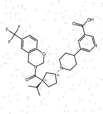 CC(C)[C@]1(C(=O)N2COc3ccc(C(F)(F)F)cc3C2)CC[C@@H](N2CCC(c3cncc(C(=O)O)c3)CC2)C1